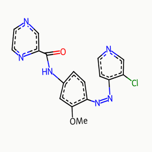 COc1cc(NC(=O)c2cnccn2)ccc1/N=N\c1ccncc1Cl